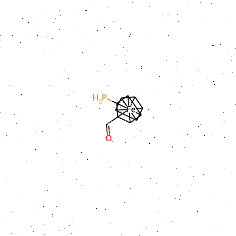 O=C[C]12[CH]3[CH]4[CH]5[C]1(P)[Fe]45321678[CH]2[CH]1[CH]6[CH]7[CH]28